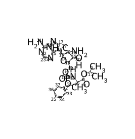 CC(C)OC(=O)[C@H](C)N[P@@](=O)(OC[C@H]1OC(c2cnn3c(N)ncnc23)[C@](C)(N)C1O)Oc1ccccc1